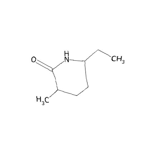 CCC1CCC(C)C(=O)N1